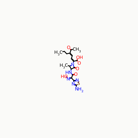 CCC/C(=C\C=C(/C(=O)O)N1C(=O)C(NC(=O)/C(=N\O)c2nsc(N)n2)C1C)C(C)=O